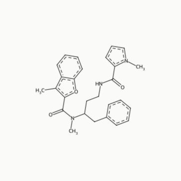 Cc1c(C(=O)N(C)C(CCNC(=O)c2cccn2C)Cc2ccccc2)oc2ccccc12